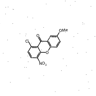 COc1ccc2oc3c([N+](=O)[O-])ccc(Cl)c3c(=O)c2c1